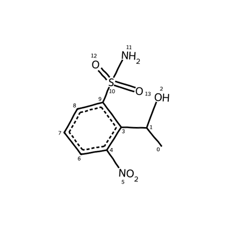 CC(O)c1c([N+](=O)[O-])cccc1S(N)(=O)=O